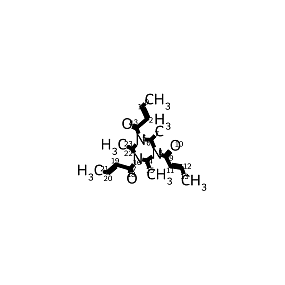 C/C=C/C(=O)N1C(C)N(C(=O)/C=C/C)C(C)N(C(=O)/C=C/C)C1C